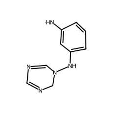 [NH]c1cccc(NN2C=NC=NC2)c1